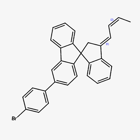 C/C=C\C=C1/CC2(c3ccccc31)c1ccccc1-c1cc(-c3ccc(Br)cc3)ccc12